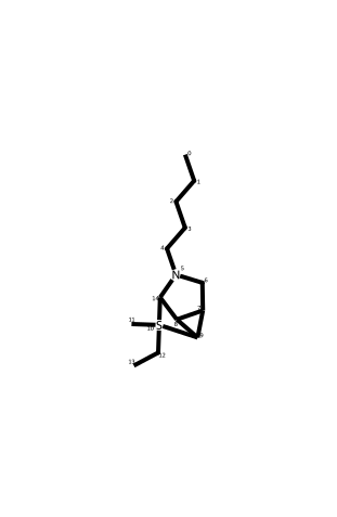 CCCCCN1CC2C3C2S(C)(CC)C31